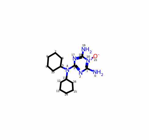 Nc1nc(N(C2CCCCC2)C2CCCCC2)nc(N)[n+]1[O-]